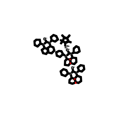 CC1=C(C)C(C)(C)[C]([Ti+3])=C1C.[O-]C(N(C1CCCCC1)C1CCCCC1)N(C1CCCCC1)C1CCCCC1.[O-]C(N(C1CCCCC1)C1CCCCC1)N(C1CCCCC1)C1CCCCC1.[O-]C(N(C1CCCCC1)C1CCCCC1)N(C1CCCCC1)C1CCCCC1